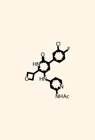 CC(=O)Nc1cc(Nc2cc(-c3ccc(F)c(Cl)c3)c(=O)[nH]c2C2COC2)ccn1